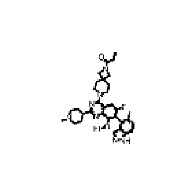 C=CC(=O)N1CC2(CCN(c3nc(C4CCN(C)CC4)nc4c(OCC)c(-c5c(C)ccc6[nH]ncc56)c(Cl)cc34)CC2)C1